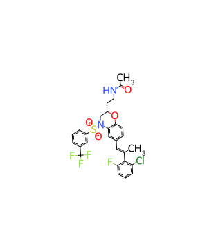 CC(=O)NCC[C@H]1CN(S(=O)(=O)c2cccc(C(F)(F)F)c2)c2cc(/C=C(\C)c3c(F)cccc3Cl)ccc2O1